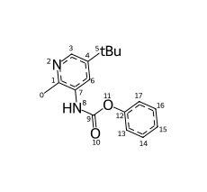 Cc1ncc(C(C)(C)C)cc1NC(=O)Oc1ccccc1